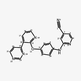 N#Cc1ccnc(Nc2ccc(Oc3ncccc3-c3ccncn3)cc2)c1